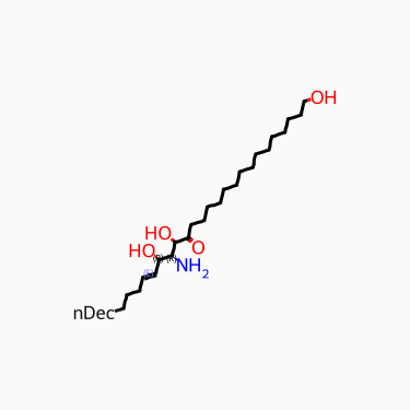 CCCCCCCCCCCCC/C=C/[C@@H](O)[C@@H](N)C(O)C(=O)CCCCCCCCCCCCCCCO